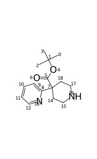 CC(C)(C)OC(=O)C1(c2ccccn2)CCNCC1